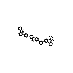 CC1(C)c2cc(-c3ccc(-c4cccc5c4sc4ccccc45)cc3)ccc2-c2ccc(-c3cccc(-c4ccc5c(c4)c4ccccc4c4nccnc54)c3)cc21